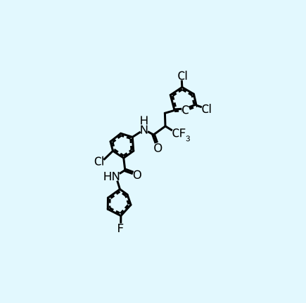 O=C(Nc1ccc(F)cc1)c1cc(NC(=O)C(Cc2cc(Cl)cc(Cl)c2)C(F)(F)F)ccc1Cl